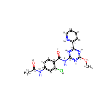 COc1nc(NC(=O)c2ccc(NC(C)=O)cc2Cl)nc(-c2ccccn2)n1